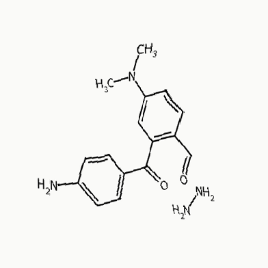 CN(C)c1ccc(C=O)c(C(=O)c2ccc(N)cc2)c1.NN